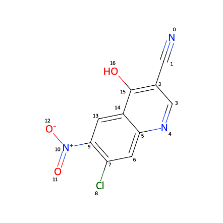 N#Cc1cnc2cc(Cl)c([N+](=O)[O-])cc2c1O